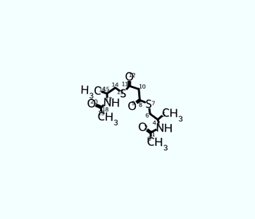 CC(=O)NC(C)CSC(=O)CC(=O)SCC(C)NC(C)=O